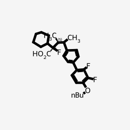 CCCCOc1ccc(-c2ccc(C(C)[C@H](C)[C@](F)(C(=O)O)C3CCCCC3)cc2)c(F)c1F